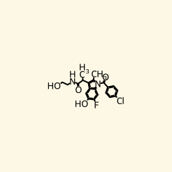 Cc1c(C(C)C(=O)NCCO)c2cc(O)c(F)cc2n1C(=O)c1ccc(Cl)cc1